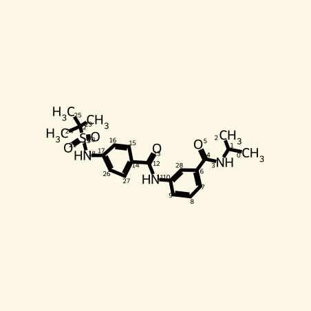 CC(C)NC(=O)c1cccc(NC(=O)c2ccc(NS(=O)(=O)C(C)(C)C)cc2)c1